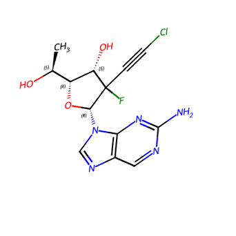 C[C@H](O)[C@H]1O[C@@H](n2cnc3cnc(N)nc32)C(F)(C#CCl)[C@H]1O